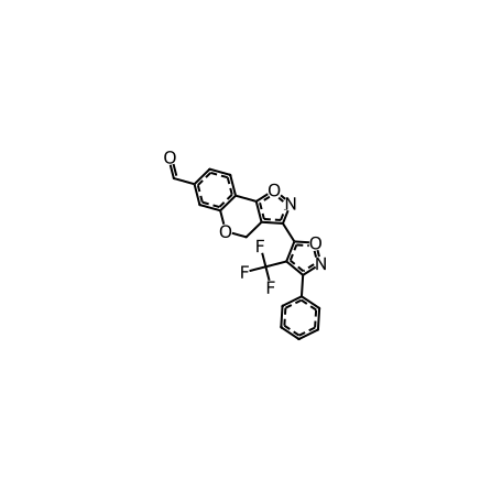 O=Cc1ccc2c(c1)OCc1c(-c3onc(-c4ccccc4)c3C(F)(F)F)noc1-2